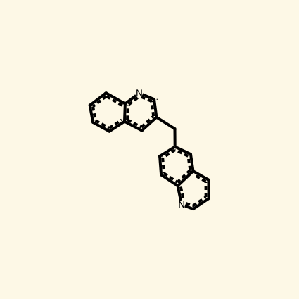 [c]1nc2ccccc2cc1Cc1ccc2ncccc2c1